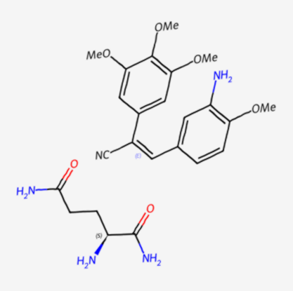 COc1ccc(/C=C(/C#N)c2cc(OC)c(OC)c(OC)c2)cc1N.NC(=O)CC[C@H](N)C(N)=O